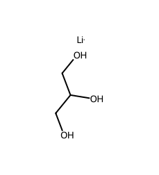 OCC(O)CO.[Li]